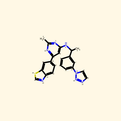 Cc1nc(NC(C)c2cccc(-n3ccnn3)c2)cc(-c2ccc3ncsc3c2)n1